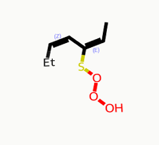 C/C=C(\C=C/CC)SOOO